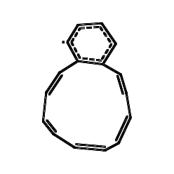 [c]1cccc2c1C=CC=CC=CC=CC=C2